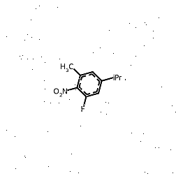 Cc1cc(C(C)C)cc(F)c1[N+](=O)[O-]